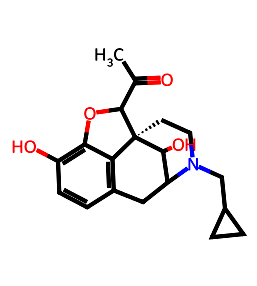 CC(=O)C1Oc2c(O)ccc3c2[C@@]12CCN(CC1CC1)C(C3)C2O